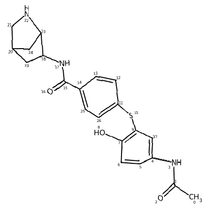 CC(=O)Nc1ccc(O)c(Sc2ccc(C(=O)NC3CC4CNC3C4)cc2)c1